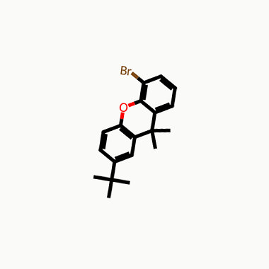 CC(C)(C)c1ccc2c(c1)C(C)(C)c1cccc(Br)c1O2